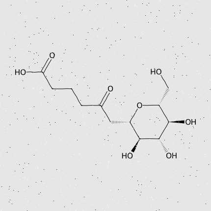 O=C(O)CCCC(=O)C[C@@H]1O[C@H](CO)[C@@H](O)[C@H](O)[C@H]1O